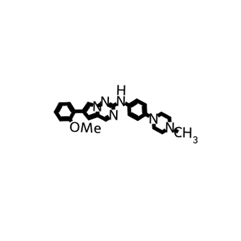 COc1ccccc1-c1cc2cnc(Nc3ccc(N4CCN(C)CC4)cc3)nn2c1